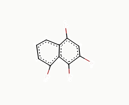 Brc1cc(Br)c2cccc(Br)c2c1Br